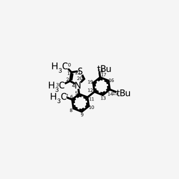 CC1=C(C)N(c2c(C)cccc2-c2cc(C(C)(C)C)cc(C(C)(C)C)c2)CS1